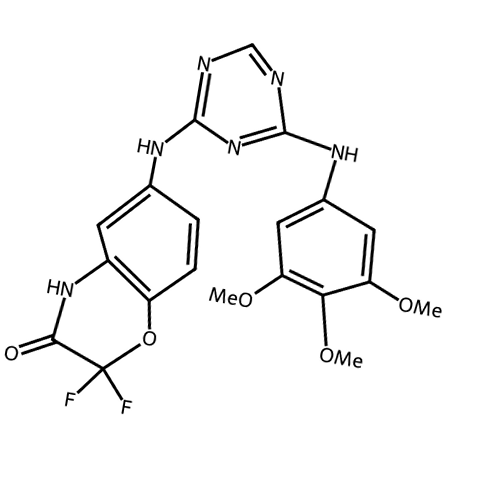 COc1cc(Nc2ncnc(Nc3ccc4c(c3)NC(=O)C(F)(F)O4)n2)cc(OC)c1OC